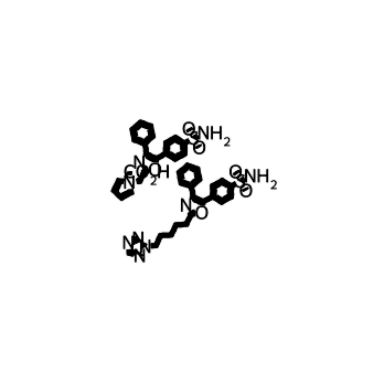 NS(=O)(=O)c1ccc(-c2oc(CCCCCn3ncnn3)nc2-c2ccccc2)cc1.NS(=O)(=O)c1ccc(-c2oc(C[N+]3(C(=O)O)C=CC=C3)nc2-c2ccccc2)cc1